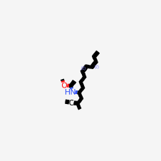 C=C=C(C)CC(CCC/C=C\C=C/C=C)NC(=C)OC